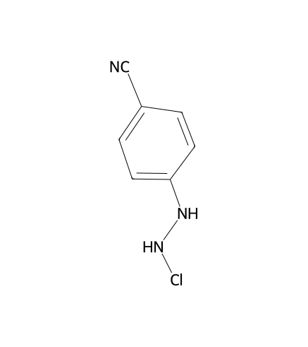 N#Cc1ccc(NNCl)cc1